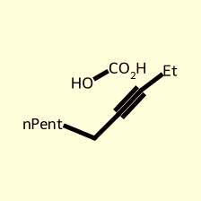 CCC#CCCCCCC.O=C(O)O